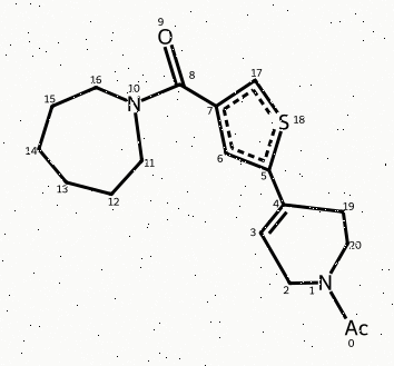 CC(=O)N1CC=C(c2cc(C(=O)N3CCCCCC3)cs2)CC1